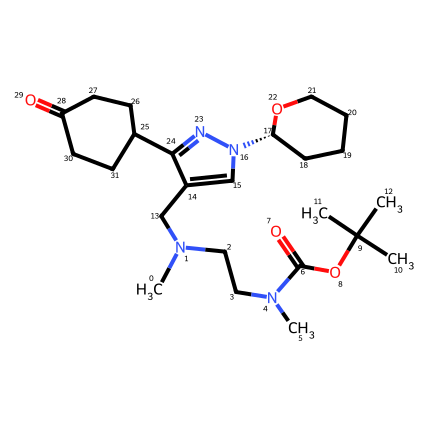 CN(CCN(C)C(=O)OC(C)(C)C)Cc1cn([C@H]2CCCCO2)nc1C1CCC(=O)CC1